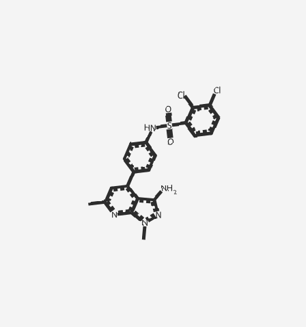 Cc1cc(-c2ccc(NS(=O)(=O)c3cccc(Cl)c3Cl)cc2)c2c(N)nn(C)c2n1